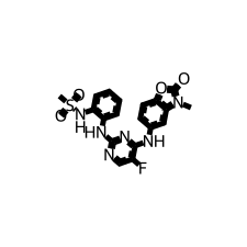 Cn1c(=O)oc2ccc(Nc3nc(Nc4ccccc4NS(C)(=O)=O)ncc3F)cc21